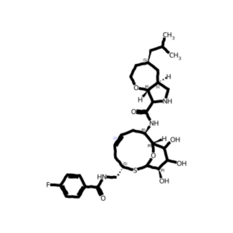 CC(C)C[C@@H]1CCO[C@H]2C(C(=O)N[C@@H]3C/C=C\C[C@@H](CNC(=O)c4ccc(F)cc4)SC4O[C@H]3C(O)C(O)[C@H]4O)NC[C@@H]2C1